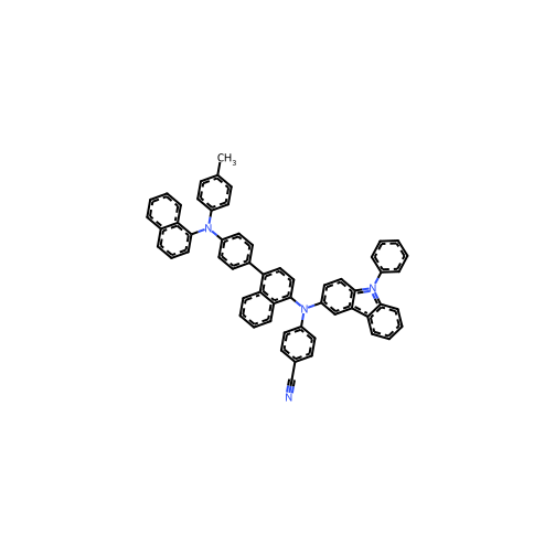 Cc1ccc(N(c2ccc(-c3ccc(N(c4ccc(C#N)cc4)c4ccc5c(c4)c4ccccc4n5-c4ccccc4)c4ccccc34)cc2)c2cccc3ccccc23)cc1